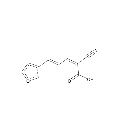 N#CC(=CC=Cc1ccoc1)C(=O)O